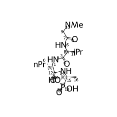 CCC[C@H](NC(=O)[C@@H](NC(=O)CNC)C(C)C)C(=O)N[C@@H](C)P(=O)(O)O